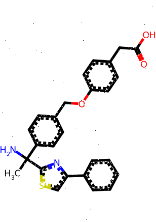 CC(N)(c1ccc(COc2ccc(CC(=O)O)cc2)cc1)c1nc(-c2ccccc2)cs1